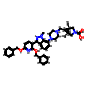 Cn1nc(-c2ccc(OCc3ccccc3)nc2OCc2ccccc2)c2cccc(N3CCN(C[C@H]4[C@H]5CN(C(=O)O)C[C@@H]45)CC3)c21